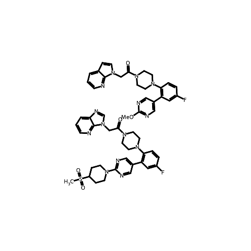 COc1ncc(-c2cc(F)ccc2N2CCN(C(=O)Cn3ccc4cccnc43)CC2)cn1.CS(=O)(=O)C1CCN(c2ncc(-c3cc(F)ccc3N3CCN(C(=O)Cn4cnc5cccnc54)CC3)cn2)CC1